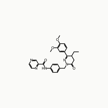 CCC1CC(=O)N(Cc2ccc(NC(=O)c3cnccn3)cc2)N=C1c1ccc(OC)c(OC)c1